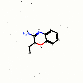 CCC1Oc2ccccc2N=C1N